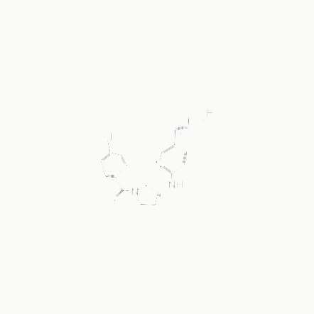 O=C(O)/C=C/c1ccc(N[C@@H]2CCN(C(=O)c3ccc(Cl)cc3)C2)nc1